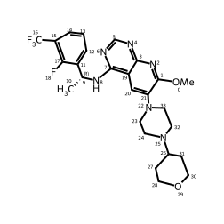 COc1nc2ncnc(N[C@H](C)c3cccc(C(F)(F)F)c3F)c2cc1N1CCN(C2CCOCC2)CC1